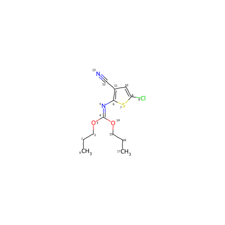 CCCOC(=Nc1sc(Cl)cc1C#N)OCCC